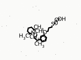 CC(CON1C(C)(C)CCCC1(C)C)c1cccc(OCCCSOOO)c1